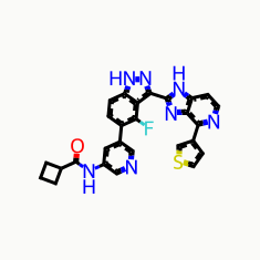 O=C(Nc1cncc(-c2ccc3[nH]nc(-c4nc5c(-c6ccsc6)nccc5[nH]4)c3c2F)c1)C1CCC1